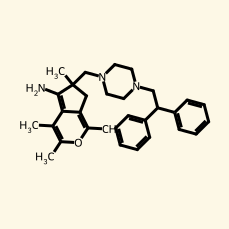 CC1=C(C)C2=C(N)C(C)(CN3CCN(CC(c4ccccc4)c4ccccc4)CC3)CC2=C(C)O1